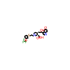 COc1ccc2nccc([C@H](O)CC[C@@H]3CCN(CCCSc4cccc(OC(F)(F)F)c4)C[C@@H]3CC(=O)O)c2c1